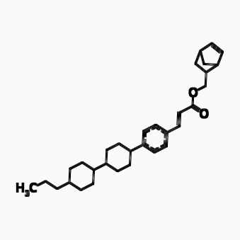 CCCC1CCC(C2CCC(c3ccc(C=CC(=O)OCC4CC5C=CC4C5)cc3)CC2)CC1